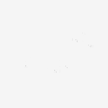 CC(=O)Nc1ccc(NC(=O)Nc2ccc3[nH]c(=O)[nH]c3c2)cc1